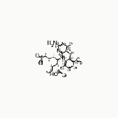 CCCC[C@@H](CCC[SH](=O)=O)Nc1nc(N)nc(C)c1Cc1cc(CC(=O)O)ccc1OC